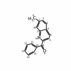 Cc1ccc2ccc(C(=O)c3ccccc3)nc2c1